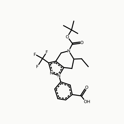 CCC1Cc2c(c(C(F)(F)F)nn2-c2cccc(C(=O)O)c2)CN1C(=O)OC(C)(C)C